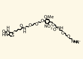 COc1cc(COCC(=O)NCCOCCOCCN=[N+]=[N-])c([N+](=O)[O-])cc1OCCOCCOCCNC(=O)CCCC[C@@H]1SCC2NC(=O)NC21